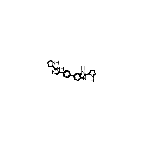 c1cc(-c2cnc(C3CCCN3)[nH]2)ccc1-c1ccc2nc(C3CCCN3)[nH]c2c1